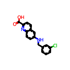 O=C(O)c1ccc2cc(NCc3cccc(Cl)c3)ccc2n1